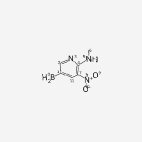 Bc1cnc(NC)c([N+](=O)[O-])c1